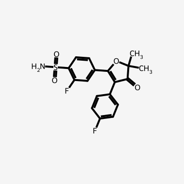 CC1(C)OC(c2ccc(S(N)(=O)=O)c(F)c2)=C(c2ccc(F)cc2)C1=O